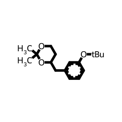 CC(C)(C)Oc1cccc(CC2CCOC(C)(C)O2)c1